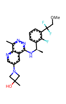 COCC(F)(F)c1cccc([C@@H](C)Nc2nnc(C)c3ncc(N4CC(C)(O)C4)cc23)c1F